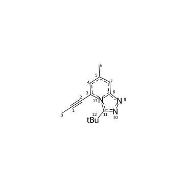 CC#Cc1cc(C)cc2nnc(C(C)(C)C)n12